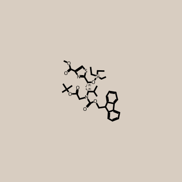 CC[Si](CC)(CC)O[C@H](C[C@H](C(C)C)N(CC(=O)OC(C)(C)C)C(=O)OCC1c2ccccc2-c2ccccc21)c1nc(C(=O)OC)cs1